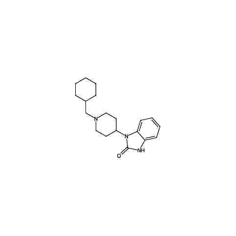 O=c1[nH]c2ccccc2n1C1CCN(CC2CCCCC2)CC1